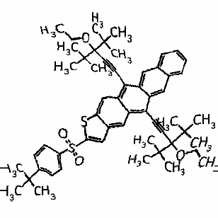 CCOC(C#Cc1c2cc3ccccc3cc2c(C#CC(OCC)(C(C)(C)C)C(C)(C)C)c2cc3sc(S(=O)(=O)c4ccc(C(C)(C)C)cc4)cc3cc12)(C(C)(C)C)C(C)(C)C